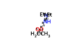 C=C(C)C(=O)OCCCNCCN(CC)CC